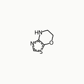 c1nc2c(s1)OCCN2